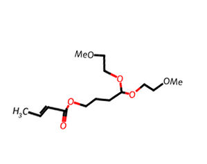 CC=CC(=O)OCCCC(OCCOC)OCCOC